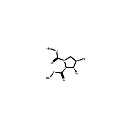 [2H][C@@H]1[C@H](O)CN(C(=O)OC(C)(C)C)[C@@H]1C(=O)OC(C)(C)C